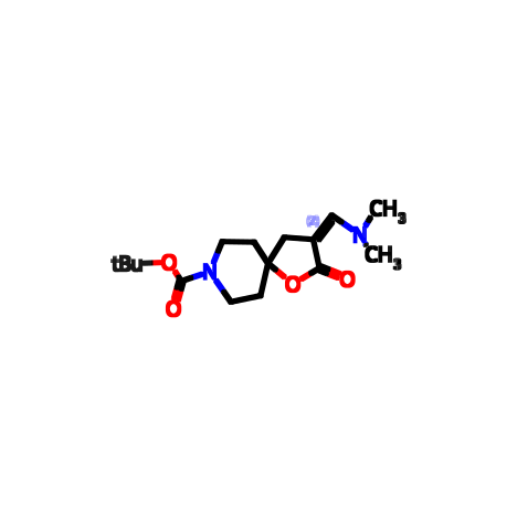 CN(C)/C=C1/CC2(CCN(C(=O)OC(C)(C)C)CC2)OC1=O